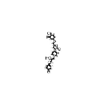 O=C1OC(COc2ccc(Cl)c(F)c2)CN1C1CCN(CC(O)COc2ccc(Cl)cc2)CC1